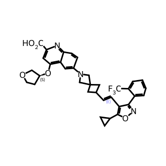 O=C(O)c1cc(O[C@H]2CCOC2)c2cc(N3CC4(CC(/C=C/c5c(-c6ccccc6C(F)(F)F)noc5C5CC5)C4)C3)ccc2n1